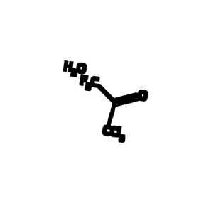 O.O=C(C(F)(F)F)C(Cl)(Cl)Cl